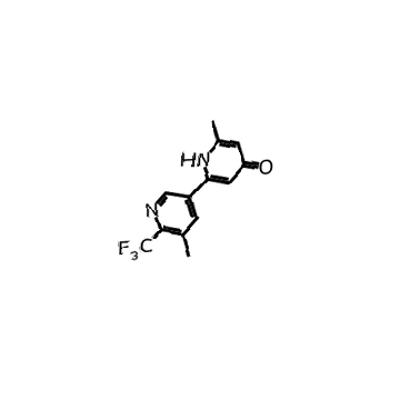 Cc1cc(=O)cc(-c2cnc(C(F)(F)F)c(C)c2)[nH]1